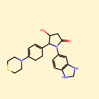 O=C1CC(O)C(C2=CC=C(N3CCSCC3)CC2)N1c1ccc2c(c1)NCN2